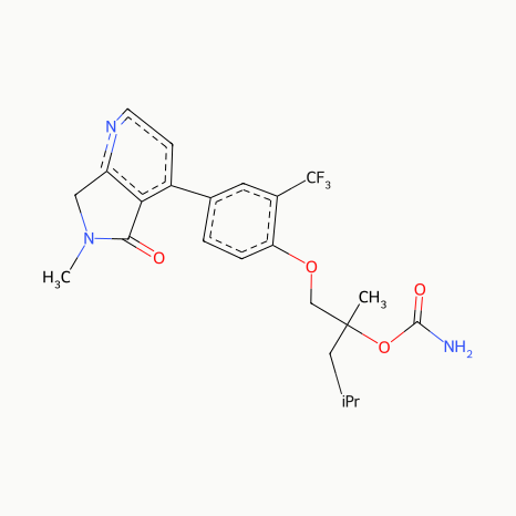 CC(C)CC(C)(COc1ccc(-c2ccnc3c2C(=O)N(C)C3)cc1C(F)(F)F)OC(N)=O